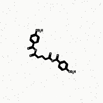 O=C(CCCC(=O)OC(=O)c1ccc(C(=O)O)cc1)OC(=O)c1ccc(C(=O)O)cc1